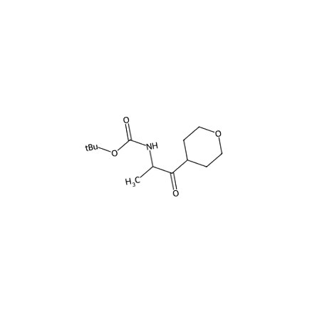 CC(NC(=O)OC(C)(C)C)C(=O)C1CCOCC1